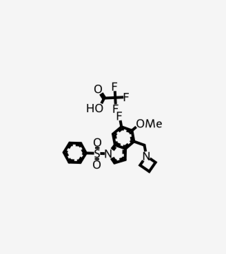 COc1c(F)cc2c(ccn2S(=O)(=O)c2ccccc2)c1CN1CCC1.O=C(O)C(F)(F)F